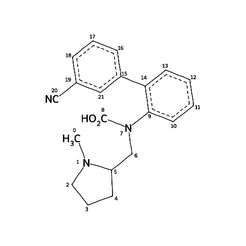 CN1CCCC1CN(C(=O)O)c1ccccc1-c1cccc(C#N)c1